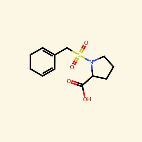 O=C(O)C1CCCN1S(=O)(=O)CC1=CC[CH]C=C1